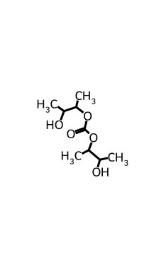 CC(O)C(C)OC(=O)OC(C)C(C)O